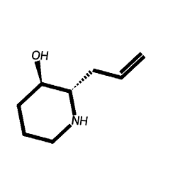 C=CC[C@@H]1NCCC[C@H]1O